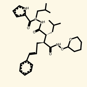 CC(C)C[C@@H](C(=O)NN(CC(C)C)C(=O)c1ccc[nH]1)[C@H](CC=Cc1ccccc1)C(=O)NOC1CCCCO1